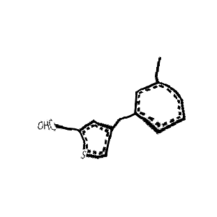 Cc1cccc(-c2csc(C=O)c2)c1